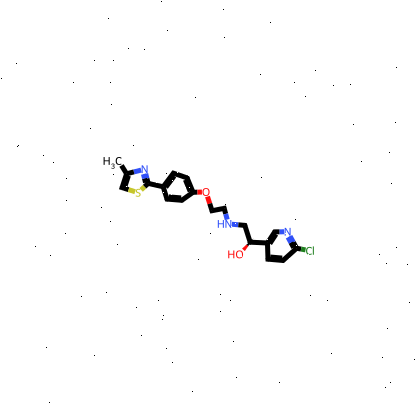 Cc1csc(-c2ccc(OCCNC[C@H](O)c3ccc(Cl)nc3)cc2)n1